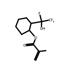 C=C(C)C(=O)OC1CCCCC1C(O)(F)C(F)(F)F